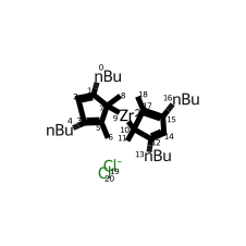 CCCCC1=CC(CCCC)=C(C)[C]1(C)[Zr+2][C]1(C)C(CCCC)=CC(CCCC)=C1C.[Cl-].[Cl-]